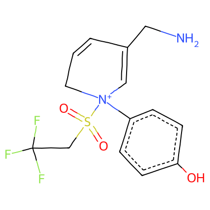 NCC1=C[N+](c2ccc(O)cc2)(S(=O)(=O)CC(F)(F)F)CC=C1